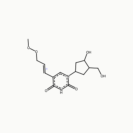 COOC/C=C/c1cn(C2CC(O)C(CO)C2)c(=O)[nH]c1=O